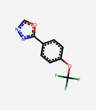 FC(F)(F)Oc1ccc(-c2nn[c]o2)cc1